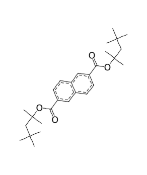 CC(C)(C)CC(C)(C)OC(=O)c1ccc2cc(C(=O)OC(C)(C)CC(C)(C)C)ccc2c1